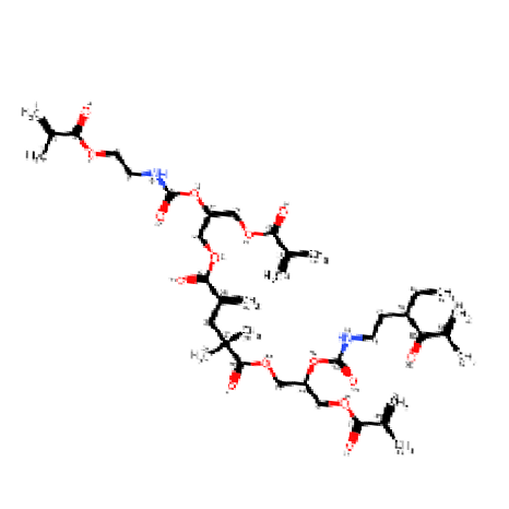 C=C(C)C(=O)OCCNC(=O)OC(COC(=O)C(=C)C)COC(=O)C(=C)CC(C)(C)C(=O)OCC(COC(=O)C(=C)C)OC(=O)NCCC(CC)C(=O)C(=C)C